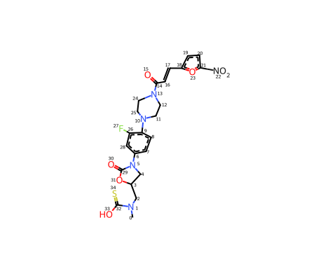 CN(CC1CN(c2ccc(N3CCN(C(=O)C=Cc4ccc([N+](=O)[O-])o4)CC3)c(F)c2)C(=O)O1)C(O)=S